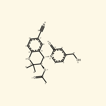 CC(=O)O[C@@H]1[C@@H](n2ccc(CO)cc2=O)c2cc(C#N)ccc2OC1(C)C